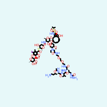 CCN(CC(=O)NCCOCCOCCNC(=O)[C@H](CCCNC(N)=O)NC(=O)[C@@H](NC(=O)[C@H](CCCCN)NC(C)=O)C(C)C)[C@H]1CO[C@@H](O[C@H]2[C@H](O[C@H]3C#C/C=C\C#C[C@]4(O)CC(=O)C(NC(=O)OC)=C3/C4=C\CSSC(C)C)O[C@H](C)[C@@H](NO[C@H]3C[C@H](O)[C@H](SC(=O)c4c(C)c(I)c(O[C@@H]5O[C@@H](C)[C@H](O)[C@@H](OC)[C@H]5O)c(OC)c4OC)[C@@H](C)O3)[C@@H]2O)C[C@@H]1OC